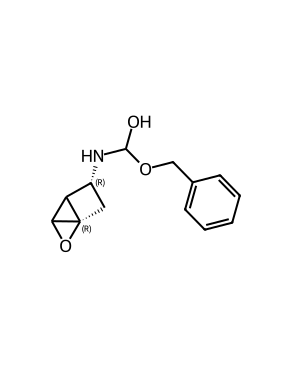 OC(N[C@@H]1C[C@]23OC2C13)OCc1ccccc1